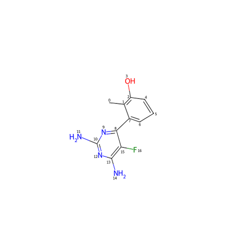 Cc1c(O)cccc1-c1nc(N)nc(N)c1F